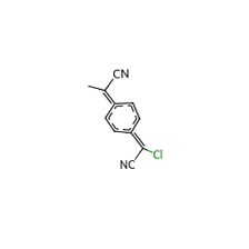 CC(C#N)=c1ccc(=C(Cl)C#N)cc1